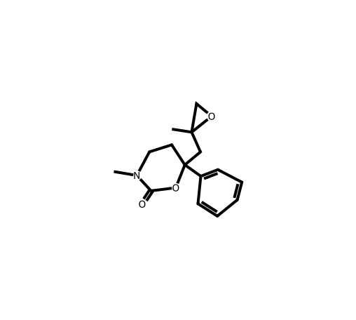 CN1CCC(CC2(C)CO2)(c2ccccc2)OC1=O